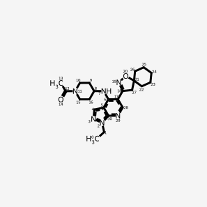 CCn1ncc2c(NC3CCN(C(C)=O)CC3)c(C3=NOC4(CCCCC4)C3)cnc21